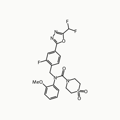 COc1ccccc1N(Cc1ccc(-c2nnc(C(F)F)o2)cc1F)C(=O)N1CCS(=O)(=O)CC1